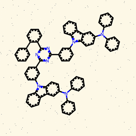 c1ccc(-c2ccccc2-c2nc(-c3cccc(-n4c5ccccc5c5cc(N(c6ccccc6)c6ccccc6)ccc54)c3)nc(-c3cccc(-n4c5ccccc5c5cc(N(c6ccccc6)c6ccccc6)ccc54)c3)n2)cc1